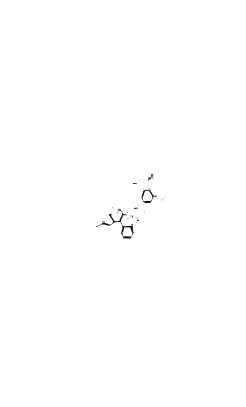 CCc1cc2c(-c3ccccc3OC)c(NC(=O)Nc3cc(OC)c(OC(C)=O)c(OC)c3)cnc2s1